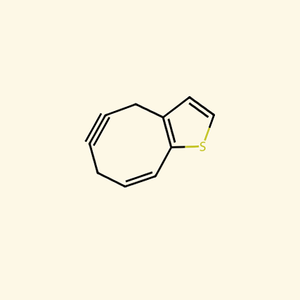 C1#CCc2ccsc2/C=C\C1